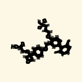 Cc1cccc(C)c1-c1ccc(OCCCS(C)(=O)=O)c(COc2ccc(C3(OCC(=O)O)COC3)cc2)c1